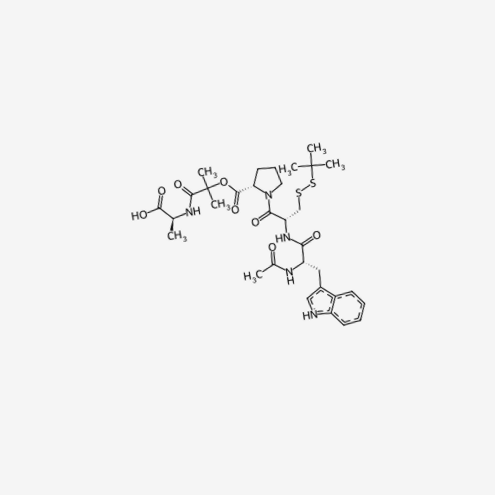 CC(=O)N[C@@H](Cc1c[nH]c2ccccc12)C(=O)N[C@@H](CSSC(C)(C)C)C(=O)N1CCC[C@H]1C(=O)OC(C)(C)C(=O)N[C@@H](C)C(=O)O